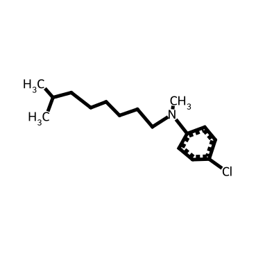 C[C](C)CCCCCCN(C)c1ccc(Cl)cc1